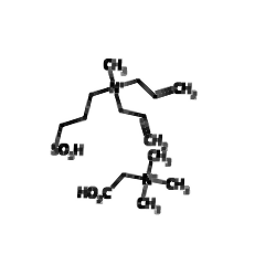 C=CC[N+](C)(CC=C)CCCS(=O)(=O)O.C[N+](C)(C)CC(=O)O